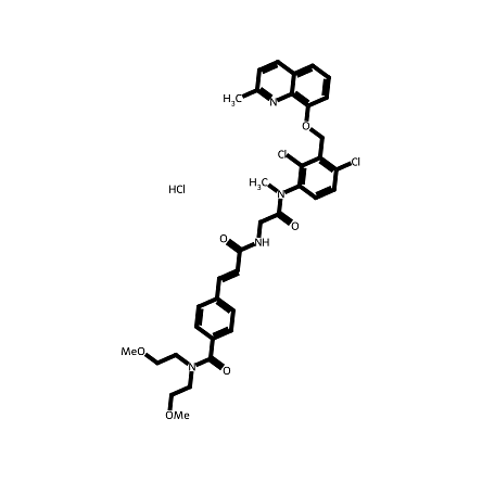 COCCN(CCOC)C(=O)c1ccc(/C=C/C(=O)NCC(=O)N(C)c2ccc(Cl)c(COc3cccc4ccc(C)nc34)c2Cl)cc1.Cl